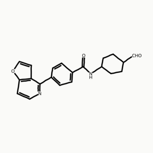 O=CC1CCC(NC(=O)c2ccc(-c3nccc4occc34)cc2)CC1